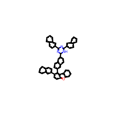 c1ccc2cc(C3=NC(c4ccc5cc(-c6c(-c7ccc8ccccc8c7)ccc7oc8ccccc8c67)ccc5c4)NC(c4ccc5ccccc5c4)=N3)ccc2c1